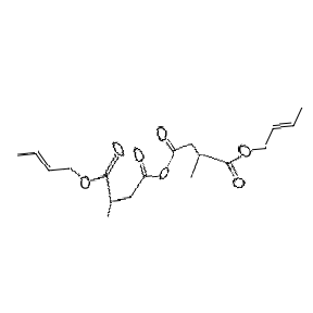 CC=CCOC(=O)C(C)CC(=O)OC(=O)CC(C)C(=O)OCC=CC